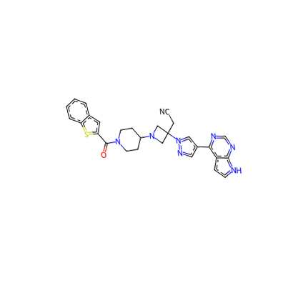 N#CCC1(n2cc(-c3ncnc4[nH]ccc34)cn2)CN(C2CCN(C(=O)c3cc4ccccc4s3)CC2)C1